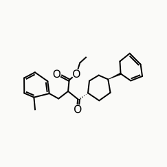 CCOC(=O)C(Cc1ccccc1C)C(=O)[C@H]1CC[C@H](C2C=CC=CC2)CC1